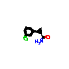 NC(=O)[C@H]1CC1c1cccc(Cl)c1